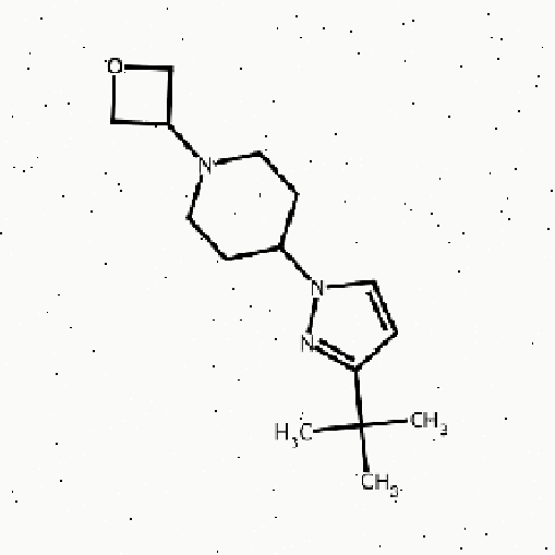 CC(C)(C)c1ccn(C2CCN(C3COC3)CC2)n1